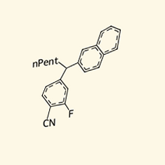 CCCCCC(c1ccc(C#N)c(F)c1)c1ccc2ccccc2c1